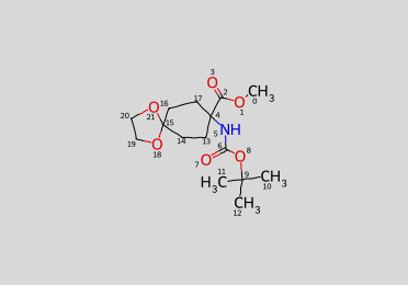 COC(=O)C1(NC(=O)OC(C)(C)C)CCC2(CC1)OCCO2